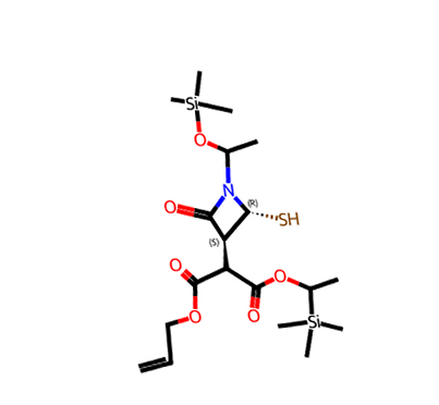 C=CCOC(=O)C(C(=O)OC(C)[Si](C)(C)C)[C@H]1C(=O)N(C(C)O[Si](C)(C)C)[C@@H]1S